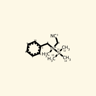 C[N+](CC#N)(Cc1ccccc1)[Si](C)(C)C